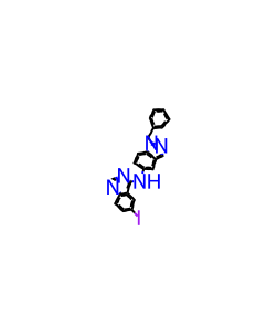 Ic1ccc2ncnc(Nc3ccc4c(cnn4Cc4ccccc4)c3)c2c1